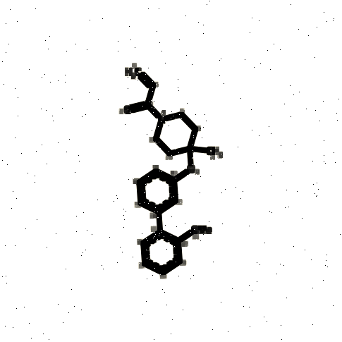 C=CC(=O)N1CCC(C)(Oc2cccc(-c3ccccc3OC)c2)CC1